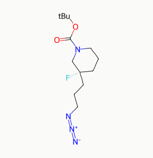 CC(C)(C)OC(=O)N1CCC[C@@](F)(CCCN=[N+]=[N-])C1